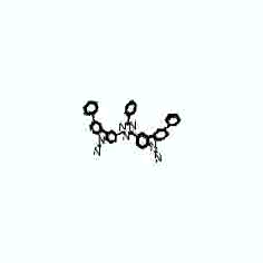 N#Cn1c2ccc(-c3ccccc3)cc2c2cc(-c3nc(-c4ccccc4)nc(-c4ccc5c(c4)c4cc(-c6ccccc6)ccc4n5C#N)n3)ccc21